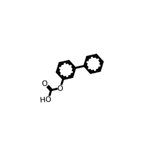 O=C(O)Oc1cccc(-c2ccccc2)c1